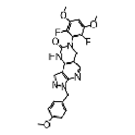 COc1ccc(Cn2ncc3c4c(cnc32)CN(c2c(F)c(OC)cc(OC)c2F)C(=O)N4)cc1